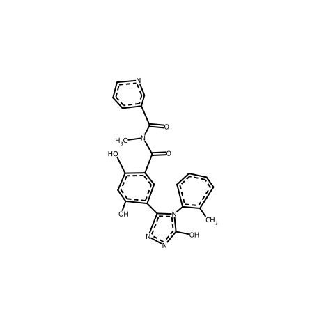 Cc1ccccc1-n1c(O)nnc1-c1cc(C(=O)N(C)C(=O)c2cccnc2)c(O)cc1O